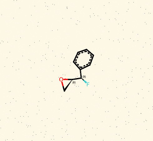 F[C@H](c1ccccc1)[C@H]1CO1